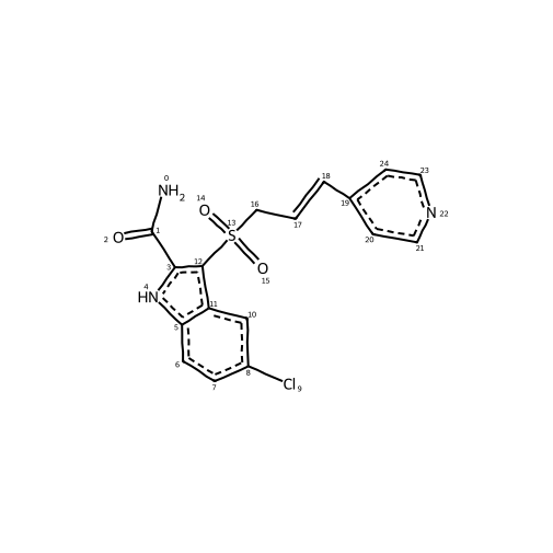 NC(=O)c1[nH]c2ccc(Cl)cc2c1S(=O)(=O)CC=Cc1ccncc1